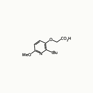 COc1ccc(OCC(=O)O)c(C(C)(C)C)n1